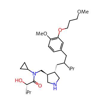 COCCCOc1cc(CC(C[C@@H]2CNC[C@H]2CN(C(=O)[C@@H](O)C(C)C)C2CC2)C(C)C)ccc1OC